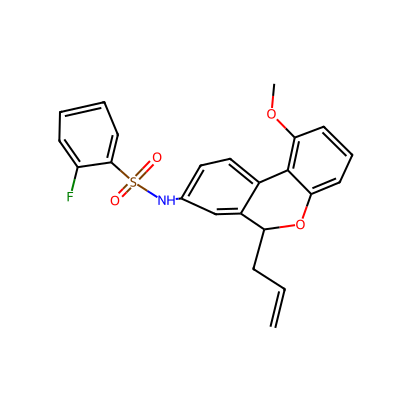 C=CCC1Oc2cccc(OC)c2-c2ccc(NS(=O)(=O)c3ccccc3F)cc21